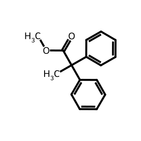 COC(=O)C(C)(c1ccccc1)c1ccccc1